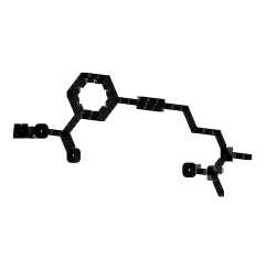 COC(=O)c1cccc(C#CCCCN(C)[S+](C)[O-])c1